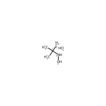 CC(C)(C)NO.Cl